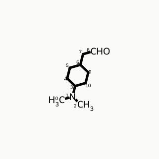 CN(C)C1CCC(CC=O)CC1